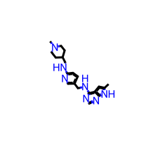 Cc1cc2c(NCc3ccc(NCC4CCN(C)CC4)nc3)ncnc2[nH]1